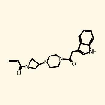 C=CC(=O)N1CC(N2CCN(C(=O)Cc3c[nH]c4ccccc34)CC2)C1